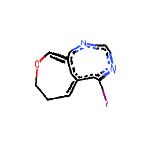 Ic1ncnc2c1=CCCOC=2